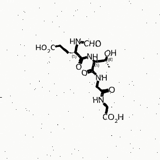 C[C@@H](O)[C@H](NC(=O)[C@H](CCC(=O)O)NC=O)C(=O)NCC(=O)NCC(=O)O